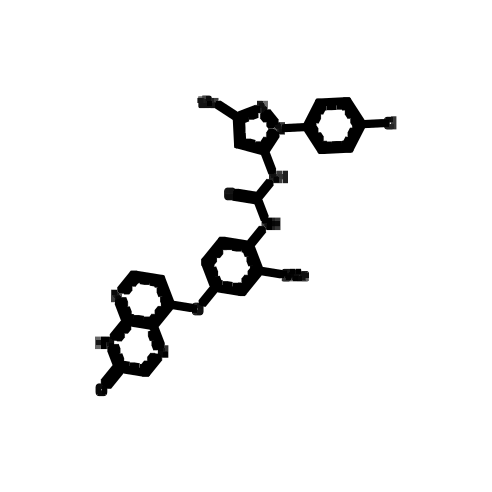 CSc1cc(Oc2ccnc3[nH]c(=O)cnc23)ccc1NC(=O)Nc1cc(C(C)(C)C)nn1-c1ccc(Cl)cc1